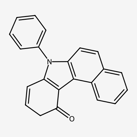 O=C1CC=Cc2c1c1c3ccccc3ccc1n2-c1ccccc1